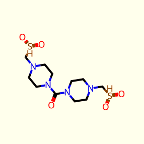 O=C(N1CCN(C[SH](=O)=O)CC1)N1CCN(C[SH](=O)=O)CC1